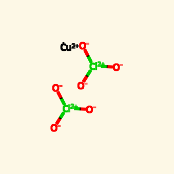 [Cu+2].[O-][Cl+2]([O-])[O-].[O-][Cl+2]([O-])[O-]